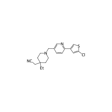 CCC1(CC#N)CCN(Cc2ccc(-c3csc(Cl)c3)nc2)CC1